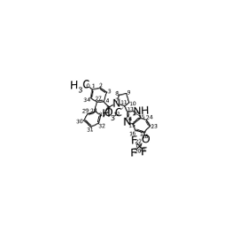 Cc1ccc(C(=O)N2CCC[C@@]2(C)c2nc3cc(OC(F)(F)F)ccc3[nH]2)c(-c2ccccc2)c1